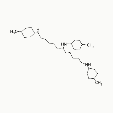 CC1CCC(NCCCCCC(CCCCCNC2CCC(C)CC2)NC2CCC(C)CC2)CC1